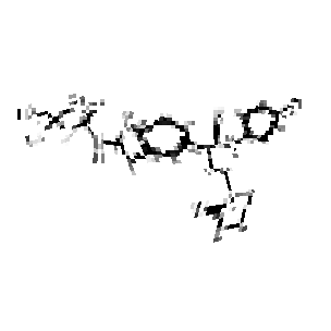 CC(C)(C)OC(=O)Nc1nc2cc(N(CCN3CCCC3=O)C(=O)Nc3ccc(Cl)cc3)ccc2s1